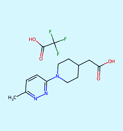 Cc1ccc(N2CCC(CC(=O)O)CC2)nn1.O=C(O)C(F)(F)F